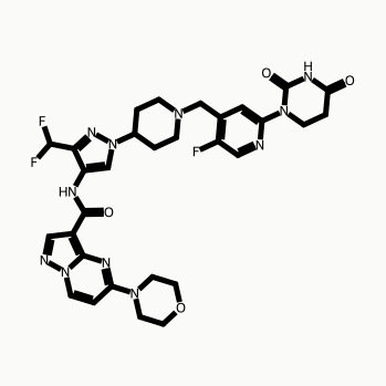 O=C1CCN(c2cc(CN3CCC(n4cc(NC(=O)c5cnn6ccc(N7CCOCC7)nc56)c(C(F)F)n4)CC3)c(F)cn2)C(=O)N1